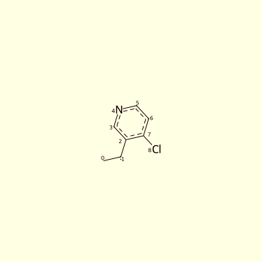 C[CH]c1cnccc1Cl